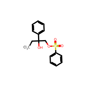 O=S(=O)(OCC(O)(CC(Cl)(Cl)Cl)c1ccccc1)c1ccccc1